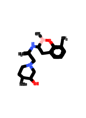 C=C(CN1CCC(NC)C(O)C1)NC1Cc2cccc(C)c2OB1N=O